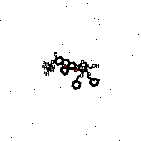 [2H]C([2H])([2H])C([2H])([2H])Oc1ccc(Cc2cc(C34OC[C@@](CO)(O3)[C@@H](OCc3ccccc3)[C@H](OCc3ccccc3)[C@H]4OCc3ccccc3)ccc2Cl)cc1F